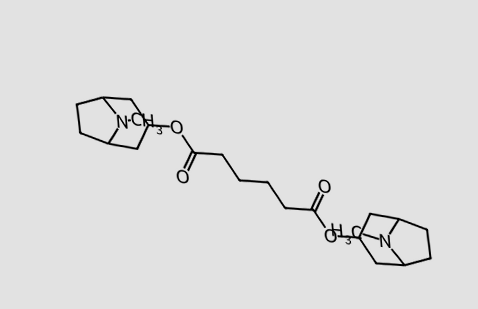 CN1C2CCC1CC(OC(=O)CCCCC(=O)OC1CC3CCC(C1)N3C)C2